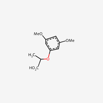 COc1cc(OC)cc(OC(C)C(=O)O)c1